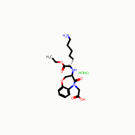 CCOC(=O)[C@H](CCCCCN)NC1COc2ccccc2N(CC(=O)O)C1=O.Cl.Cl